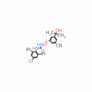 CC(C)c1cc(Cl)cc(C(C)C)c1NC(=O)NOSc1cc(C#N)cc(C(C)(C)O)c1